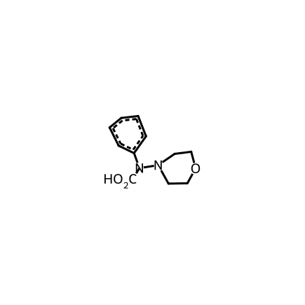 O=C(O)N(c1ccccc1)N1CCOCC1